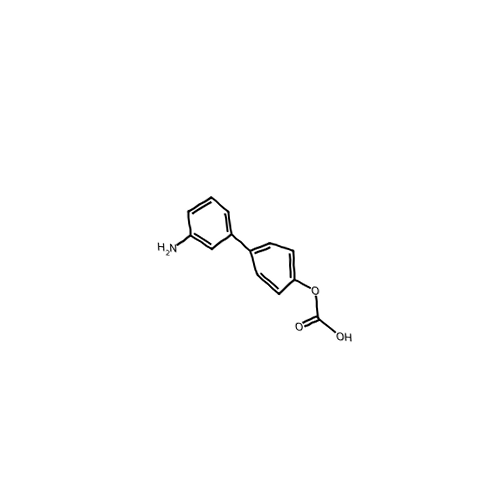 Nc1cccc(-c2ccc(OC(=O)O)cc2)c1